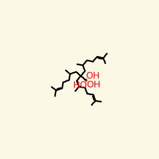 CC(C)=CCCC(C)CC(CC(C)CCC=C(C)C)(CC(C)CCC=C(C)C)C(O)(O)O